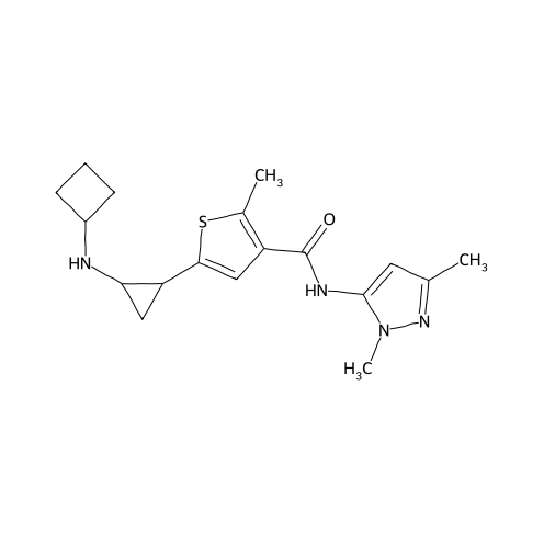 Cc1cc(NC(=O)c2cc(C3CC3NC3CCC3)sc2C)n(C)n1